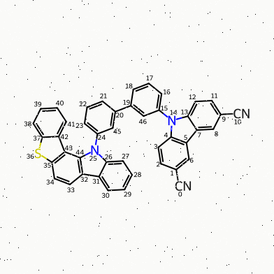 N#Cc1ccc2c(c1)c1cc(C#N)ccc1n2-c1cccc(-c2cccc(-n3c4ccccc4c4ccc5sc6ccccc6c5c43)c2)c1